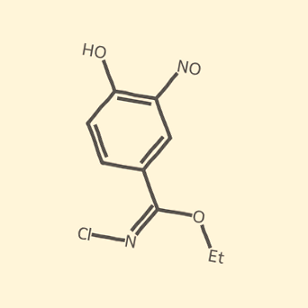 CCO/C(=N/Cl)c1ccc(O)c(N=O)c1